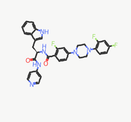 O=C(N[C@H](Cc1c[nH]c2ccccc12)C(=O)Nc1ccncc1)c1ccc(N2CCN(c3ccc(F)cc3F)CC2)cc1F